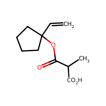 C=CC1(OC(=O)C(C)C(=O)O)CCCC1